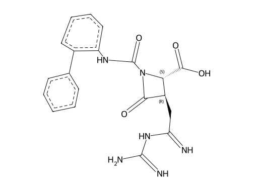 N=C(N)NC(=N)C[C@H]1C(=O)N(C(=O)Nc2ccccc2-c2ccccc2)[C@@H]1C(=O)O